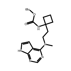 CN(CCC1(NC(=O)OC(C)(C)C)CCC1)c1ncnc2[nH]ccc12